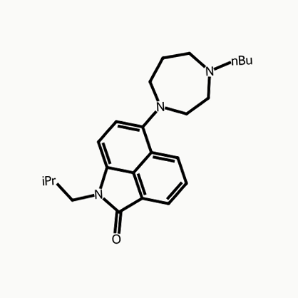 CCCCN1CCCN(c2ccc3c4c(cccc24)C(=O)N3CC(C)C)CC1